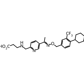 C/C(=N\OCc1ccc(C2CCCCC2)c(C(F)(F)F)c1)c1ccc(CNCCC(=O)O)nc1